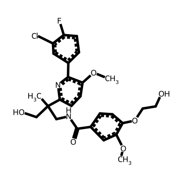 COc1cc(C(=O)NCC(C)(CO)c2ccc(OC)c(-c3ccc(F)c(Cl)c3)n2)ccc1OCCO